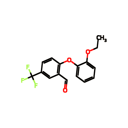 CCOc1ccccc1Oc1ccc(C(F)(F)F)cc1C=O